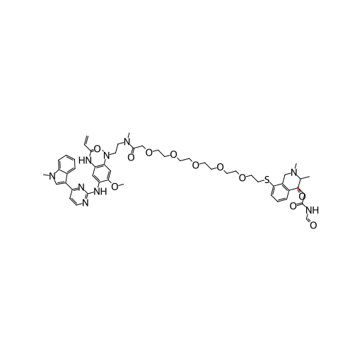 C=CC(=O)Nc1cc(Nc2nccc(-c3cn(C)c4ccccc34)n2)c(OC)cc1N(C)CCN(C)C(=O)COCCOCCOCCOCCOCCSc1cccc(C=O)c1CN(C)C(C)CCC(=O)NC=O